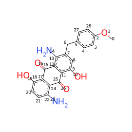 COc1ccc(Cc2cc(O)c3c(c2N)C(=O)c2c(O)ccc(N)c2C3=O)cc1